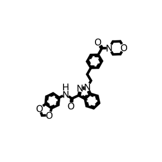 O=C(Nc1ccc2c(c1)OCO2)c1nn(CCc2ccc(C(=O)N3CCOCC3)cc2)c2ccccc12